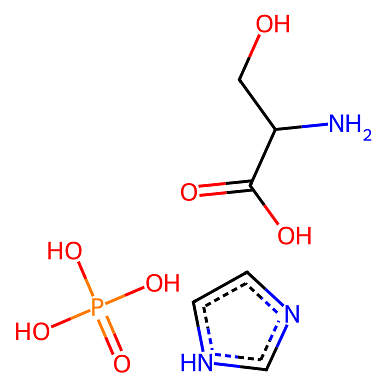 NC(CO)C(=O)O.O=P(O)(O)O.c1c[nH]cn1